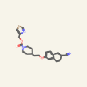 N#Cc1ccc2cc(OCCC3CCN(C(=O)OCc4cscn4)CC3)ccc2c1